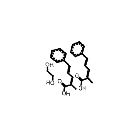 CC(=CC=Cc1ccccc1)C(=O)O.CC(=CC=Cc1ccccc1)C(=O)O.OCCO